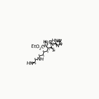 CCOC(=O)NC(CCCCNCC=N)C(=S)N(C)c1nnn[nH]1